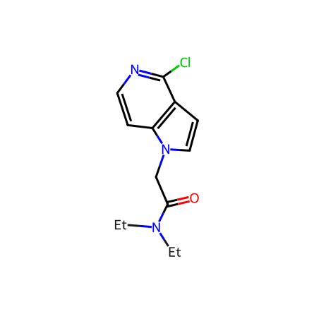 CCN(CC)C(=O)Cn1ccc2c(Cl)nccc21